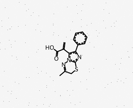 C=C(C(=O)O)c1c(-c2ccccc2)nc2n1N=C(C)CS2